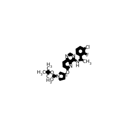 CC(Nc1ncnc2ccc(O[C@H]3CCN(C(=O)OC(C)(C)C)C3)nc12)c1cccc(Cl)c1F